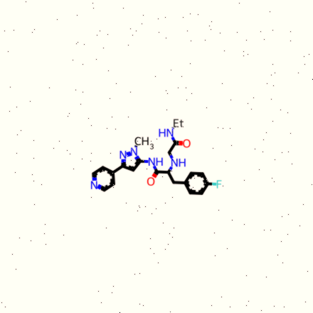 CCNC(=O)CNC(Cc1ccc(F)cc1)C(=O)Nc1cc(-c2ccncc2)nn1C